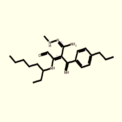 CCCCCC(CC)N/C(C=O)=C(C(=N)c1ccc(CCC)cc1)/C(N)=N\NC